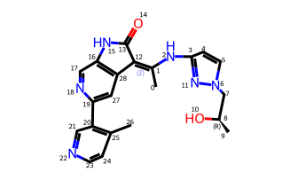 C/C(Nc1ccn(C[C@@H](C)O)n1)=C1/C(=O)Nc2cnc(-c3cnccc3C)cc21